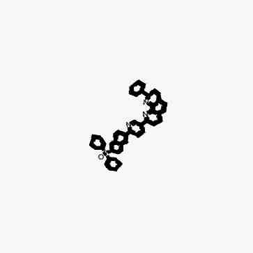 O=P(c1ccccc1)(c1ccccc1)c1ccc2cc(-c3ccc(-c4ccc5ccc6ccc(-c7ccccc7)nc6c5n4)cn3)ccc2c1